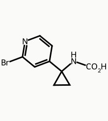 O=C(O)NC1(c2ccnc(Br)c2)CC1